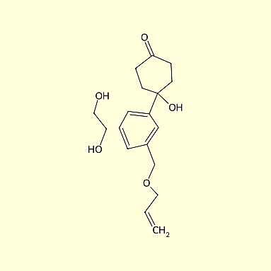 C=CCOCc1cccc(C2(O)CCC(=O)CC2)c1.OCCO